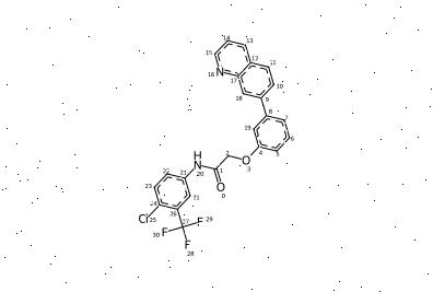 O=C(COc1cccc(-c2ccc3cccnc3c2)c1)Nc1ccc(Cl)c(C(F)(F)F)c1